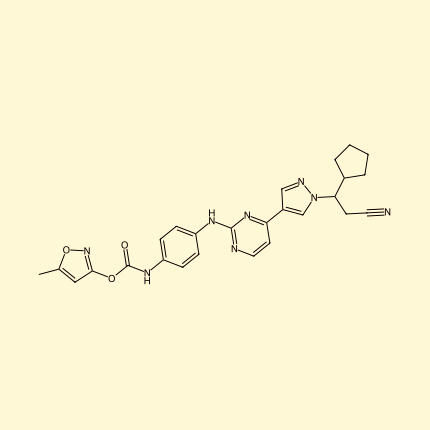 Cc1cc(OC(=O)Nc2ccc(Nc3nccc(-c4cnn(C(CC#N)C5CCCC5)c4)n3)cc2)no1